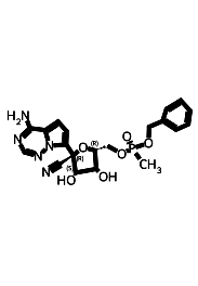 CP(=O)(OCc1ccccc1)OC[C@H]1O[C@@](C#N)(c2ccc3c(N)ncnn23)[C@@H](O)C1O